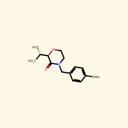 COc1ccc(CN2CCO[C@H]([C@@H](OC(C)=O)C(=O)O)C2=O)cc1